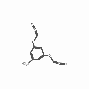 O=C=COc1cc(OC=C=O)cc(S(=O)(=O)O)c1